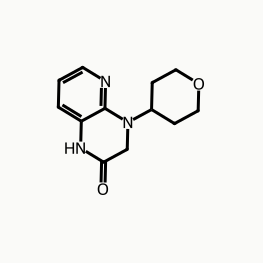 O=C1CN(C2CCOCC2)c2ncccc2N1